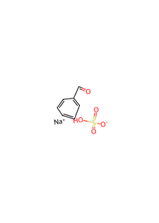 O=Cc1ccccc1.O=S(=O)([O-])O.[Na+]